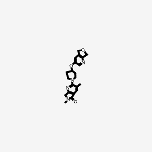 Cc1cc2c(nc1N1CCC(Oc3cnc4c(c3)COC4)CC1)CN(C)C2=O